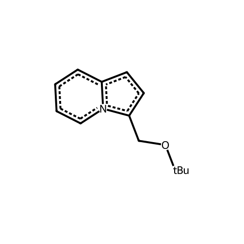 CC(C)(C)OCc1ccc2ccccn12